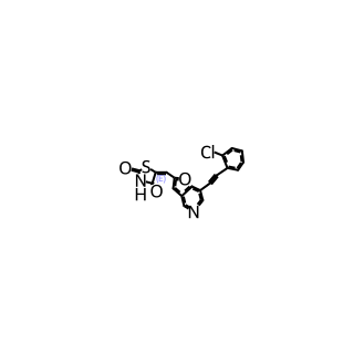 O=C1NC(=O)/C(=C\c2cc3cncc(C#Cc4ccccc4Cl)c3o2)S1